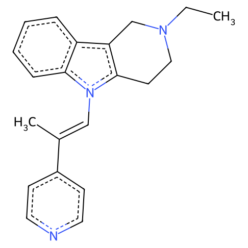 CCN1CCc2c(c3ccccc3n2/C=C(\C)c2ccncc2)C1